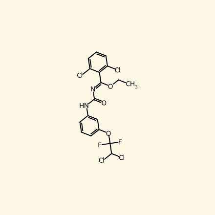 CCOC(=NC(=O)Nc1cccc(OC(F)(F)C(Cl)Cl)c1)c1c(Cl)cccc1Cl